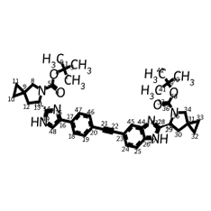 CC(C)(C)OC(=O)N1CC2(CC2)C[C@H]1c1nc(-c2ccc(C#Cc3ccc4[nH]c([C@@H]5CC6(CC6)CN5C(=O)OC(C)(C)C)nc4c3)cc2)c[nH]1